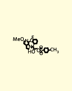 COc1cc2ccn([C@@H](c3cccc(F)c3)[C@H](O)COS(=O)(=O)c3ccc(C)cc3)c2c(Cl)n1